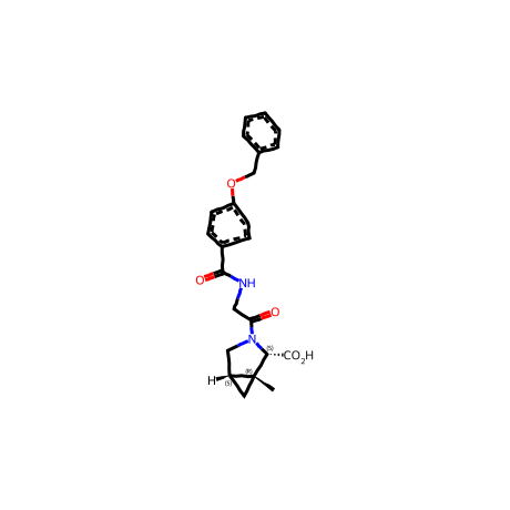 C[C@@]12C[C@@H]1CN(C(=O)CNC(=O)c1ccc(OCc3ccccc3)cc1)[C@@H]2C(=O)O